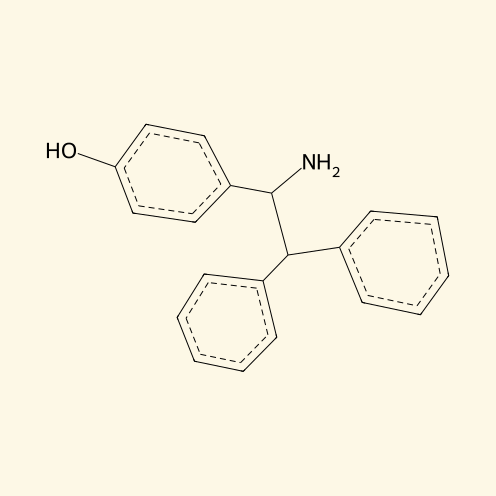 NC(c1ccc(O)cc1)C(c1ccccc1)c1ccccc1